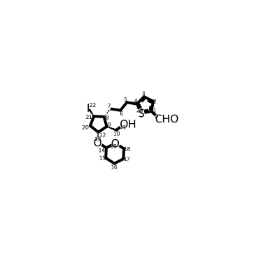 O=Cc1ccc(CCC[C@@H]2[C@@H](CO)[C@H](OC3CCCCO3)C[C@H]2I)s1